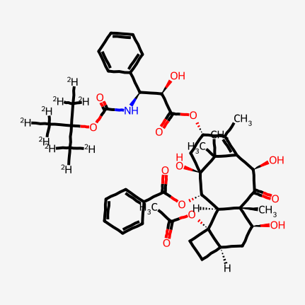 [2H]C([2H])([2H])C(OC(=O)N[C@@H](c1ccccc1)[C@@H](O)C(=O)O[C@H]1C[C@@]2(O)[C@@H](OC(=O)c3ccccc3)[C@@H]3[C@]4(OC(C)=O)CC[C@@H]4C[C@H](O)[C@@]3(C)C(=O)[C@H](O)C(=C1C)C2(C)C)(C([2H])([2H])[2H])C([2H])([2H])[2H]